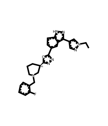 CCn1cc(-c2n[nH]c3ccc(-c4nnc([C@@H]5CCCN(Cc6ccccc6F)C5)o4)cc23)cn1